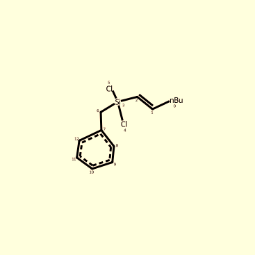 CCCCC=C[Si](Cl)(Cl)Cc1ccccc1